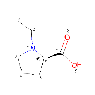 CCN1CCC[C@@H]1C(=O)O